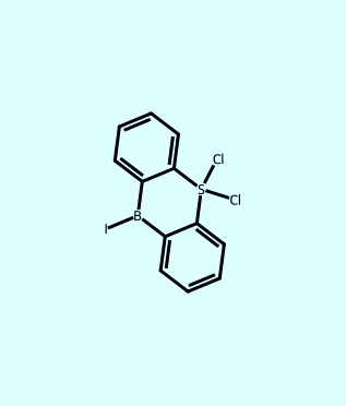 ClS1(Cl)c2ccccc2B(I)c2ccccc21